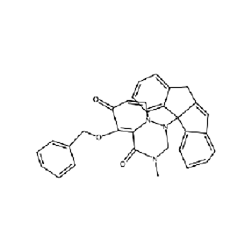 CN1CN(C23C(=Cc4ccccc42)Cc2ccccc23)n2ccc(=O)c(OCc3ccccc3)c2C1=O